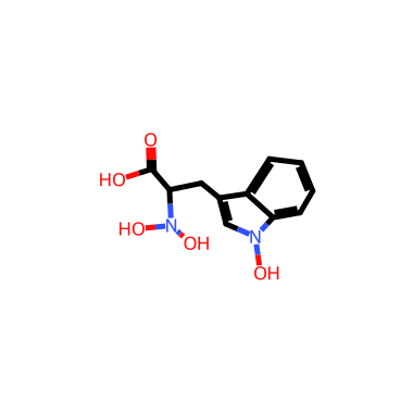 O=C(O)C(Cc1cn(O)c2ccccc12)N(O)O